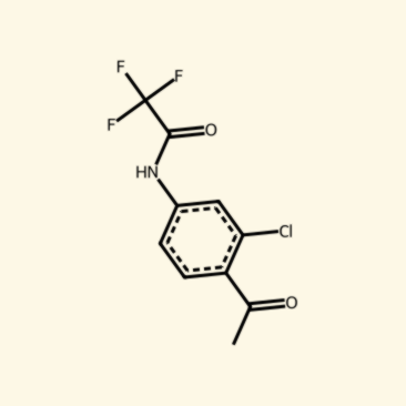 CC(=O)c1ccc(NC(=O)C(F)(F)F)cc1Cl